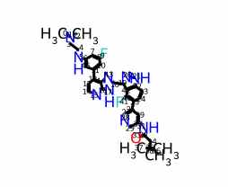 CN(C)CCNc1cc(F)cc(-c2ccnc3[nH]c(-c4n[nH]c5ccc(-c6cncc(NC(=O)CC(C)(C)C)c6)c(F)c45)nc23)c1